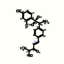 NN(N=O)C(=O)/C=C/c1ccc(N(N)S(=O)(=O)c2ccc(Cl)cc2Cl)cc1